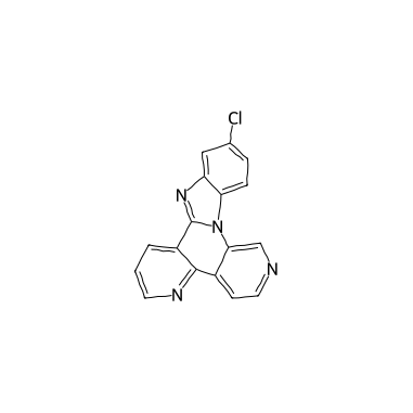 Clc1ccc2c(c1)nc1c3cccnc3c3ccncc3n21